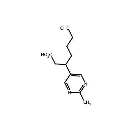 Cc1ncc(C(CCCC=O)CC(=O)O)cn1